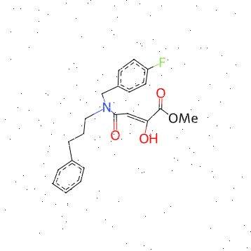 COC(=O)C(O)=CC(=O)N(CCCc1ccccc1)Cc1ccc(F)cc1